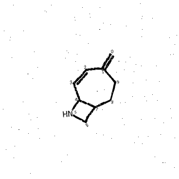 C=C1C=CC2NCC2CC1